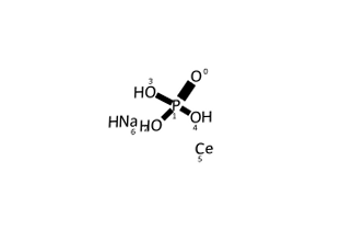 O=P(O)(O)O.[Ce].[NaH]